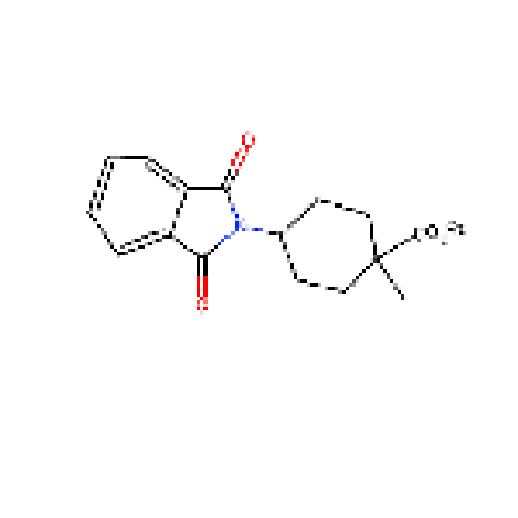 CCOC(=O)C1(C)CCC(N2C(=O)c3ccccc3C2=O)CC1